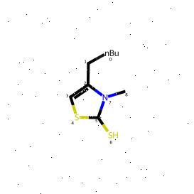 CCCCCC1=CS[C](S)N1C